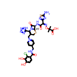 CC(C)(O/N=C(\C(=O)N[C@@H]1C(=O)N2C(c3nnn[nH]3)=C(C[n+]3ccc(CNC(=O)c4ccc(O)c(O)c4Cl)cc3)CS[C@H]12)c1nsc(N)n1)C(=O)O